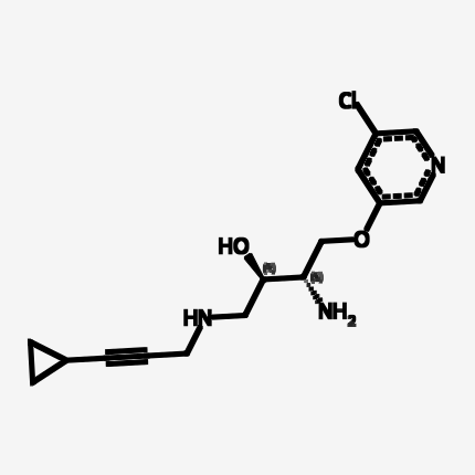 N[C@@H](COc1cncc(Cl)c1)[C@H](O)CNCC#CC1CC1